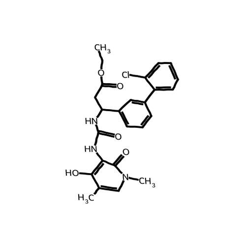 CCOC(=O)CC(NC(=O)Nc1c(O)c(C)cn(C)c1=O)c1cccc(-c2ccccc2Cl)c1